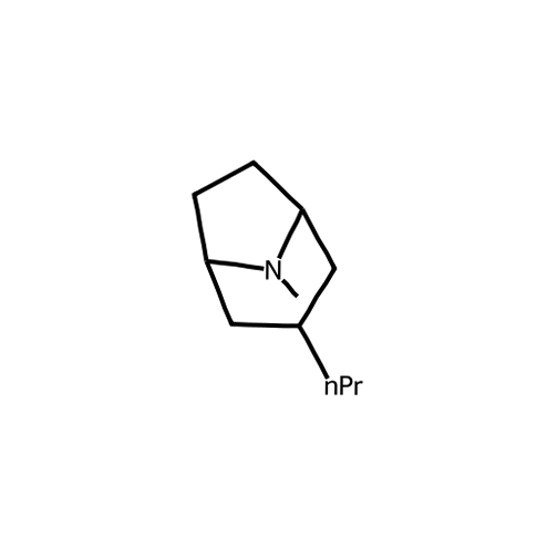 CCCC1CC2CCC(C1)N2C